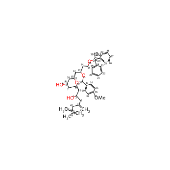 C=C(CC(O)C[C@H]1C[C@@H](O)C[C@@H](CC(CCO[Si](c2ccccc2)(c2ccccc2)C(C)(C)C)OCc2ccc(OC)cc2)O1)C[Si](C)(C)C